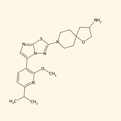 COc1nc(C(C)C)ccc1-c1cnc2sc(N3CCC4(CC3)CC(N)CO4)nn12